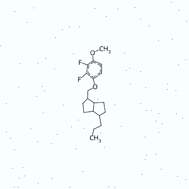 CCCC1CCC2C(COc3ccc(OC)c(F)c3F)CCC12